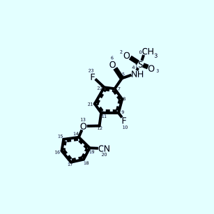 CS(=O)(=O)NC(=O)c1cc(F)c(COc2ccccc2C#N)cc1F